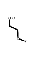 [CH2]COCCC=O